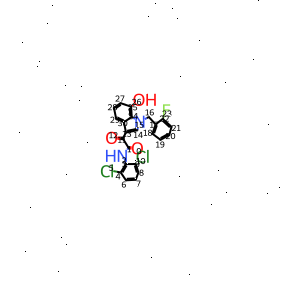 O=C(Nc1c(Cl)cccc1Cl)C(=O)c1cn(Cc2ccccc2F)c2c(O)cccc12